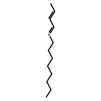 C/C=C/C=N/CCCCCCCC